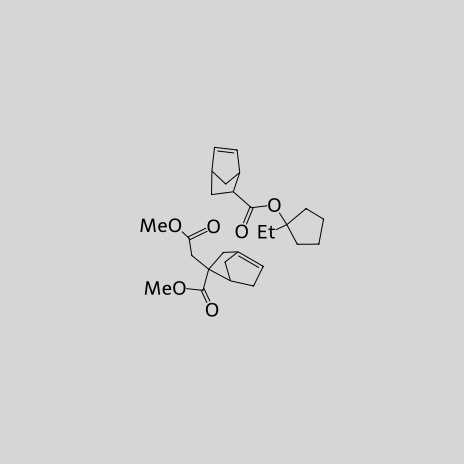 CCC1(OC(=O)C2CC3C=CC2C3)CCCC1.COC(=O)CC1(C(=O)OC)CC2=CCC1C2